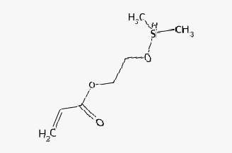 C=CC(=O)OCCO[SiH](C)C